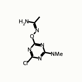 CNc1nc(Cl)nc(ON=C(C)N)n1